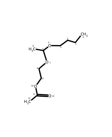 CCCCOC(C)OCCOC(C)=O